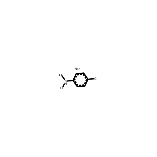 [Na+].[O-]c1ccc([SH](Cl)Cl)cc1